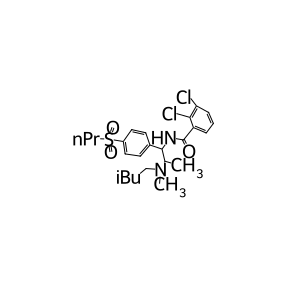 CCCS(=O)(=O)c1ccc(C(NC(=O)c2cccc(Cl)c2Cl)C(C)N(C)CC(C)CC)cc1